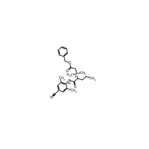 CCCC(C(=O)Nc1c(C)cc(C#N)cc1C)[PH](C)(C)CC(=O)OCc1ccccc1